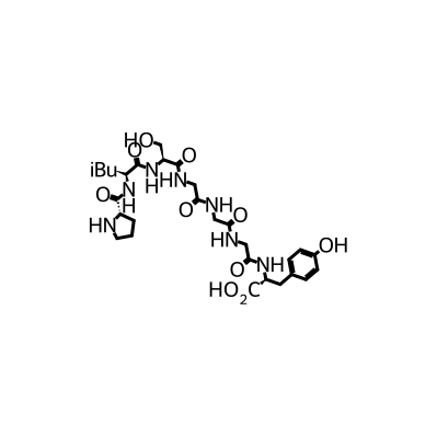 CC[C@H](C)[C@H](NC(=O)[C@@H]1CCCN1)C(=O)N[C@@H](CO)C(=O)NCC(=O)NCC(=O)NCC(=O)N[C@@H](Cc1ccc(O)cc1)C(=O)O